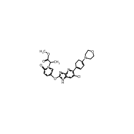 COC(=O)C(C)n1cc(Oc2nc3nc(C4=CC=C(N5CCOCC5)CC4)c(Cl)cc3[nH]2)ccc1=O